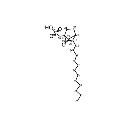 CCCCCCCCCCCCC1C(=O)C2(CS(=O)(=O)O)CCC1C2(C)C